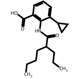 CCCCC(CCC)C(=O)Nc1c(C(=O)O)cccc1C1CC1